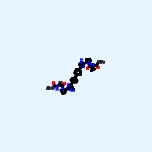 COC(=O)N[C@H](C(=O)N1CCCC1c1nc(-c2ccc(-c3ccc(-c4c[nH]c([C@@H]5CCCN5C(=O)C5(NC(=O)OC)CC5)n4)cc3)cc2)c[nH]1)C(C)C